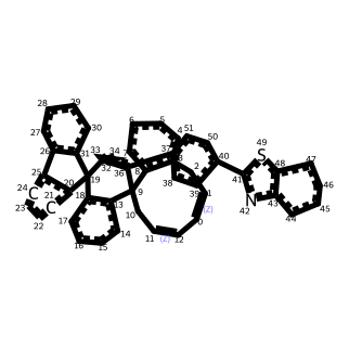 C1=C\Cc2ccccc2C2(C\C=C/1)c1ccccc1C1(c3ccccc3-c3ccccc31)c1cccc(-c3ccc(-c4nc5ccccc5s4)cc3)c12